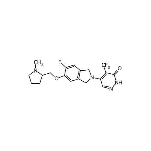 CN1CCCC1COc1cc2c(cc1F)CN(c1cn[nH]c(=O)c1C(F)(F)F)C2